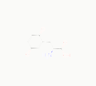 N[C@@H](CC1=CC(=O)C=CC1=O)C(=O)O